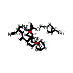 C=C(c1ccc(N2C3CC2CN(CC2CC(F)(F)C2)C3)nc1)c1c(C#N)cnn1/C=C(\C)OCN1CC2C(O)C2C1